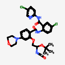 CC(C)(C)OC(COc1cc(N2CCOCC2)ccc1C(=O)Nc1ccc(Cl)cc1C(=O)Nc1ccc(Cl)cn1)N=C=O